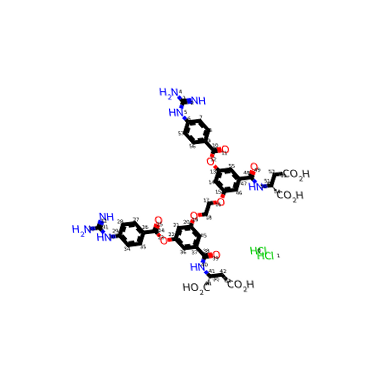 Cl.Cl.N=C(N)Nc1ccc(C(=O)Oc2cc(OCCOc3cc(OC(=O)c4ccc(NC(=N)N)cc4)cc(C(=O)N[C@H](CC(=O)O)C(=O)O)c3)cc(C(=O)N[C@H](CC(=O)O)C(=O)O)c2)cc1